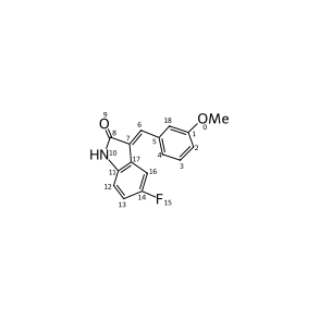 COc1cccc(/C=C2/C(=O)Nc3ccc(F)cc32)c1